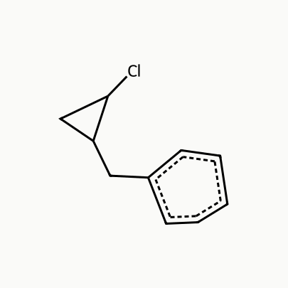 ClC1CC1Cc1ccccc1